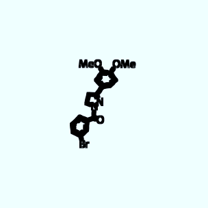 COc1ccc(C2=NN(C(=O)c3cccc(Br)c3)CC2)cc1OC